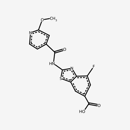 COc1cc(C(=O)Nc2nc3c(F)cc(C(=O)O)cc3s2)ccn1